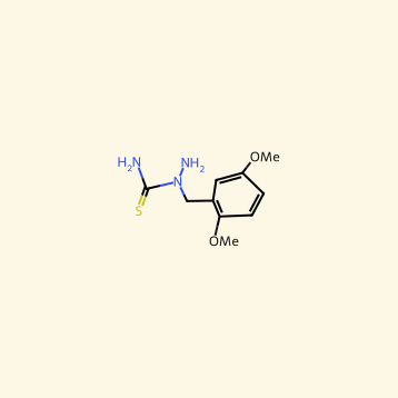 COc1ccc(OC)c(CN(N)C(N)=S)c1